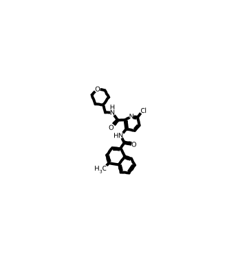 Cc1ccc(C(=O)Nc2ccc(Cl)nc2C(=O)NCC2CCOCC2)c2ccccc12